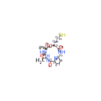 C=C1NC(=O)c2cccc(n2)CNC(=O)C[C@@H](/C=C/CCS)OC(=O)[C@H](C(C)C)NC1=O